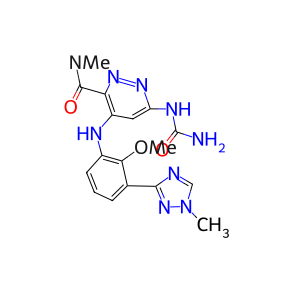 CNC(=O)c1nnc(NC(N)=O)cc1Nc1cccc(-c2ncn(C)n2)c1OC